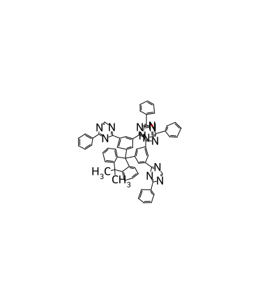 CC1(C)c2ccccc2C(c2cc(-c3ncnc(-c4ccccc4)n3)cc(-c3ncnc(-c4ccccc4)n3)c2)(c2cc(-c3ncnc(-c4ccccc4)n3)cc(-c3ncnc(-c4ccccc4)n3)c2)c2ccccc21